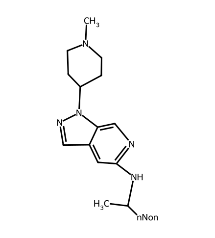 CCCCCCCCCC(C)Nc1cc2cnn(C3CCN(C)CC3)c2cn1